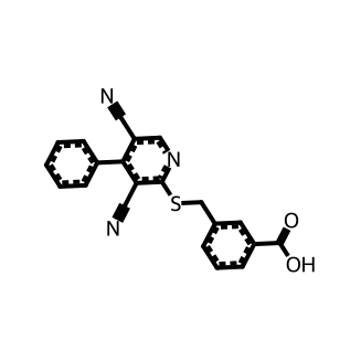 N#Cc1cnc(SCc2cccc(C(=O)O)c2)c(C#N)c1-c1ccccc1